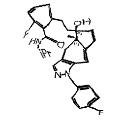 CC(C)NC(=O)c1c(F)cccc1CC[C@]1(O)CCC2=Cc3c(cnn3-c3ccc(F)cc3)C[C@@]21C